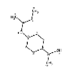 CCC(C)OC1CCC(C(C)O)CC1